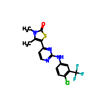 Cc1c(-c2ccnc(Nc3ccc(Cl)c(C(F)(F)F)c3)n2)sc(=O)n1C